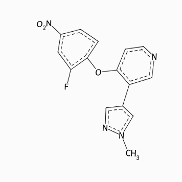 Cn1cc(-c2cnccc2Oc2ccc([N+](=O)[O-])cc2F)cn1